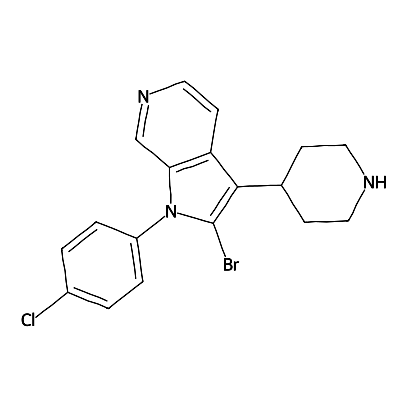 Clc1ccc(-n2c(Br)c(C3CCNCC3)c3ccncc32)cc1